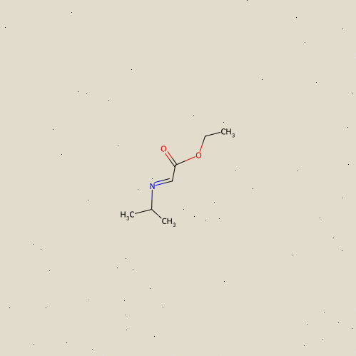 CCOC(=O)/C=N/C(C)C